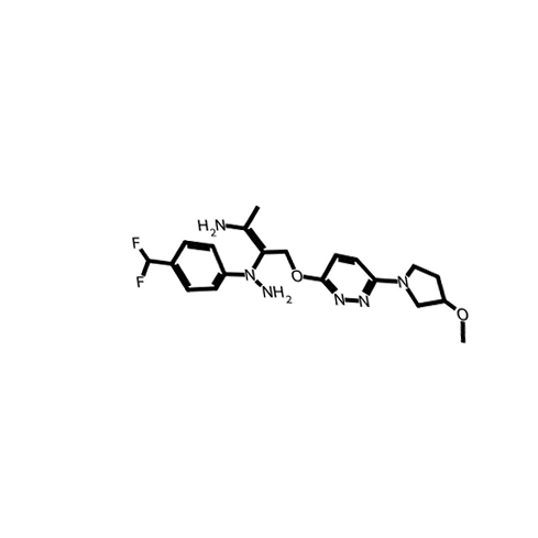 COC1CCN(c2ccc(OC/C(=C(\C)N)N(N)c3ccc(C(F)F)cc3)nn2)C1